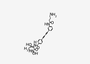 C[C@@H](O)[C@H](NC(=O)c1ccc(C#CC#Cc2cccc(NC(=O)CCCN)c2)cc1)C(=O)NO